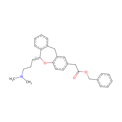 CN(C)CC/C=C1\Oc2ccc(CC(=O)OCc3ccccc3)cc2Cc2ccccc21